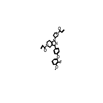 C=CC(=O)N1CCc2c(c(-c3ccc(Oc4cccc(OC)c4F)cc3)nn2C2CCN(C(=O)C=C)C2)C1